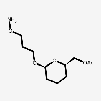 CC(=O)OC[C@H]1CCC[C@@H](OCCCON)O1